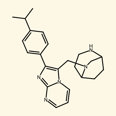 CC(C)c1ccc(-c2nc3ncccn3c2CN2CC3CCC2CCN3)cc1